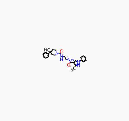 N#CC1(c2ccccc2)CCN(C(=O)NCCNC(=O)c2cn(-c3ccccc3)nc2C(F)(F)F)CC1